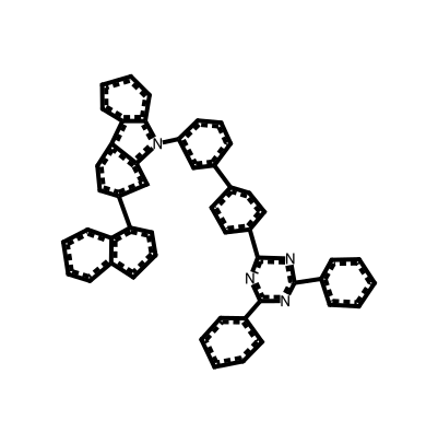 c1ccc(-c2nc(-c3ccccc3)nc(-c3ccc(-c4cccc(-n5c6ccccc6c6ccc(-c7cccc8ccccc78)cc65)c4)cc3)n2)cc1